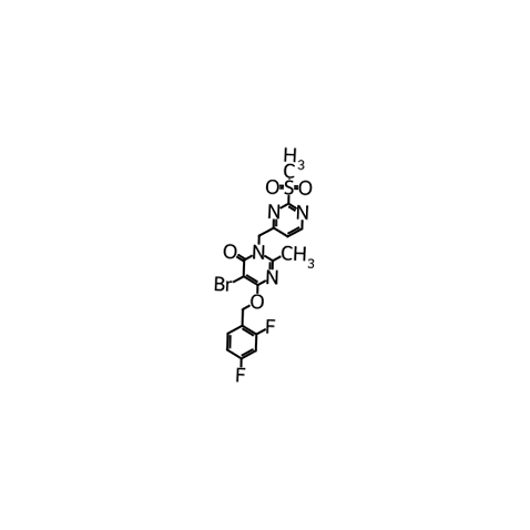 Cc1nc(OCc2ccc(F)cc2F)c(Br)c(=O)n1Cc1ccnc(S(C)(=O)=O)n1